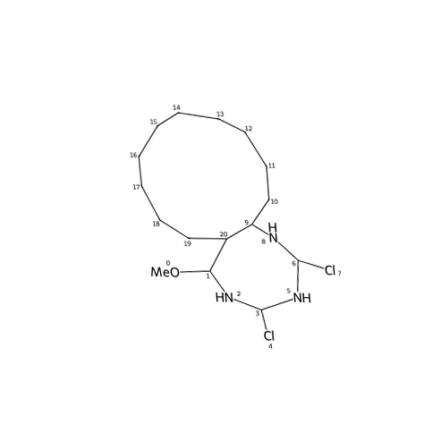 COC1NC(Cl)NC(Cl)NC2CCCCCCCCCCC21